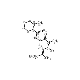 CCOC(=O)/C(C)=C/[C@H](CC)N(C)C(=O)[C@@H](NC(=O)C1CCCCN1C)C(C)(C)C